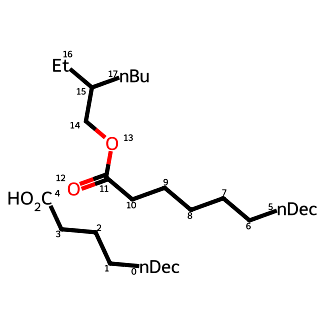 CCCCCCCCCCCCCC(=O)O.CCCCCCCCCCCCCCCC(=O)OCC(CC)CCCC